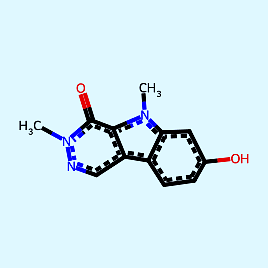 Cn1ncc2c3ccc(O)cc3n(C)c2c1=O